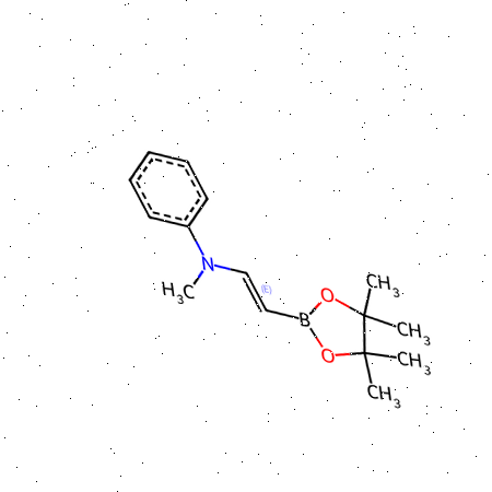 CN(/C=C/B1OC(C)(C)C(C)(C)O1)c1ccccc1